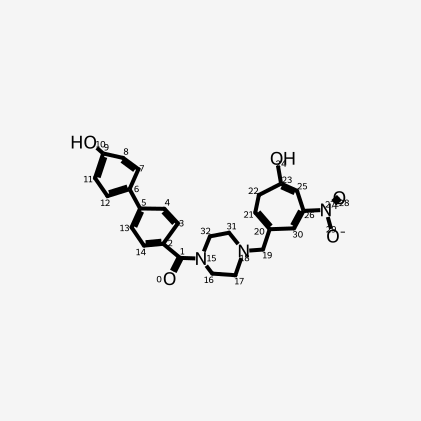 O=C(c1ccc(-c2ccc(O)cc2)cc1)N1CCN(CC2=CCC(O)=CC([N+](=O)[O-])=C2)CC1